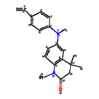 CCOC(=O)c1ccc(N(C)c2ccc3c(c2)C(C)(C)CC(=O)N3C(C)C)cc1